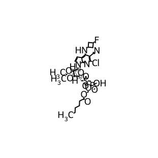 CCCCCC(=O)OCOP(=O)(O)CS(=O)(=O)C[C@H]1O[C@@H](n2ccc3c(NC4CC(F)C4)c(C#N)c(Cl)nc32)[C@@H]2OC(C)(C)O[C@@H]21